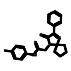 Cc1ccc(NC(=O)CN2C(=O)C(c3ccccc3)=NC23CCCC3)cc1